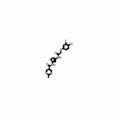 Cc1ncc(C(=O)NC23CC(C2)C(NC(=O)COc2ccc(Cl)c(F)c2)C3)cn1